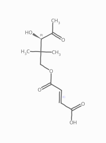 CC(=O)[C@H](O)C(C)(C)COC(=O)/C=C/C(=O)O